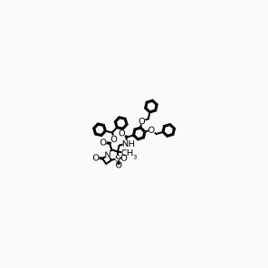 CC1(CNC(=O)c2ccc(OCc3ccccc3)c(OCc3ccccc3)c2)C(C(=O)OC(c2ccccc2)c2ccccc2)N2C(=O)CC2S1(=O)=O